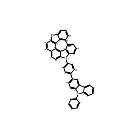 c1ccc(-n2c3ccccc3c3cc(-c4ccc(-n5c6cccc7c6c6c8c(ccc9oc%10cccc-7c%10c98)ccc65)cc4)ccc32)cc1